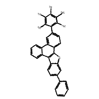 [2H]c1c([2H])c([2H])c(-c2ccc3c(c2)c2ccccc2c2c4ccc(-c5ccccc5)cc4sc32)c([2H])c1[2H]